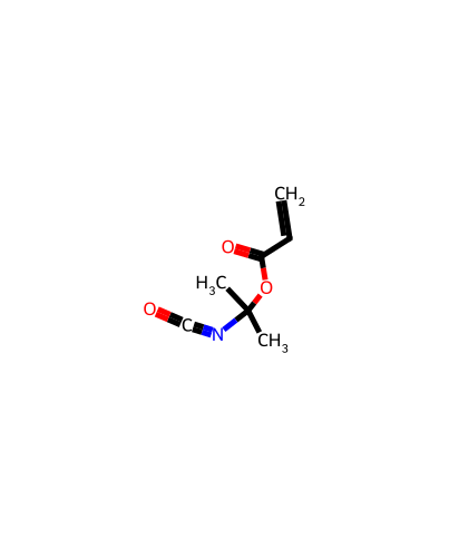 C=CC(=O)OC(C)(C)N=C=O